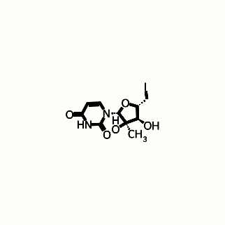 C[C@@]1(O)[C@H](O)[C@@H](CI)O[C@H]1n1ccc(=O)[nH]c1=O